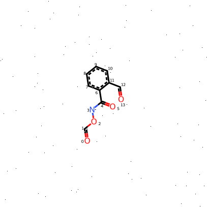 O=[C]O[N]C(=O)c1ccccc1C=O